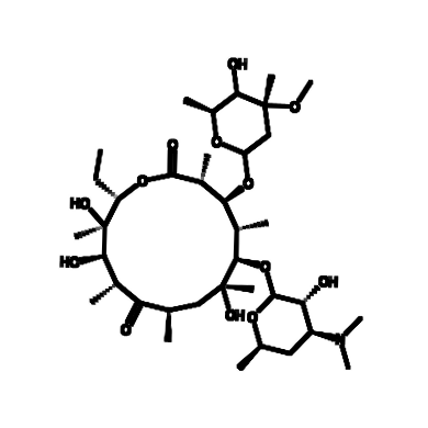 CC[C@@H]1OC(=O)[C@H](C)[C@@H](OC2C[C@@](C)(OC)C(O)[C@H](C)O2)[C@H](C)[C@@H](OC2O[C@H](C)C[C@H](N(C)C)[C@H]2O)[C@](C)(O)C[C@@H](C)C(=O)[C@H](C)[C@@H](O)[C@@]1(C)O